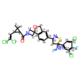 CC1(C)C(C=C(Cl)Cl)C1C(=O)N1CC2(C1)OCc1cc(C3=NSC(NF)(c4cc(Cl)c(F)c(Cl)c4)C3)ccc12